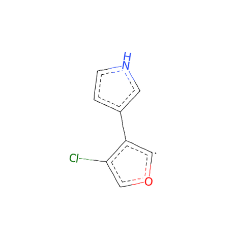 Clc1co[c]c1-c1cc[nH]c1